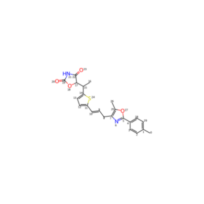 Cc1ccc(-c2nc(CC=Cc3ccc(C(C)C4OC(=O)NC4=O)s3)c(C)o2)cc1